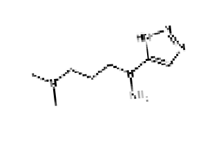 CN(C)CCCN(N)c1cnn[nH]1